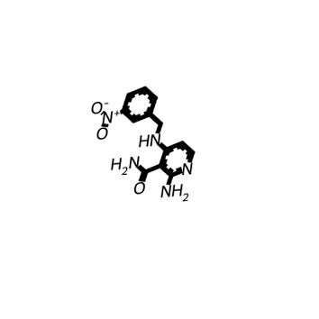 NC(=O)c1c(NCc2cccc([N+](=O)[O-])c2)ccnc1N